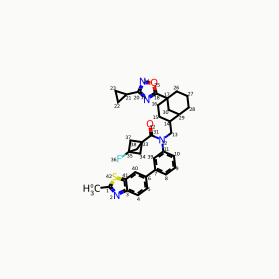 Cc1nc2ccc(-c3cccc(N(CC4CCC5(c6nc(C7CC7)no6)CCCC4C5)C(=O)C45CC(F)(C4)C5)c3)cc2s1